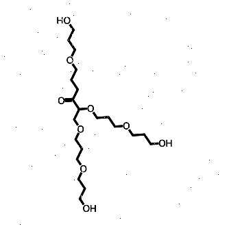 O=C(CCCOCCCO)C(COCCCOCCCO)OCCCOCCCO